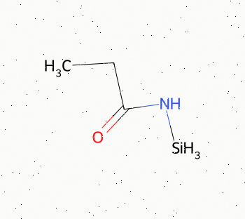 CCC(=O)N[SiH3]